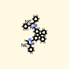 Cc1nc(-c2ccc(C(c3ccccc3)(c3ccccc3)c3ccc(-c4nc(-c5ccccc5)c(C#N)c(-c5ccccc5)n4)cc3)cc2)nc(-c2ccccc2)c1C#N